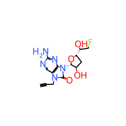 C#CCn1c(=O)n([C@@H]2O[C@H](C(O)CF)C[C@H]2O)c2nc(N)ncc21